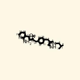 CC(C)CN/C=C(\C=N)Cc1ccc(Cc2cc(-c3cccnc3N)on2)cc1